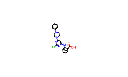 O=C(O)C1C2CCC(CC2)C1Nc1cc(N2CCN(c3ccccc3)CC2)nc(Cl)n1